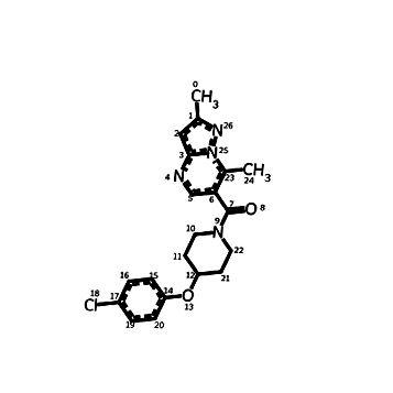 Cc1cc2ncc(C(=O)N3CCC(Oc4ccc(Cl)cc4)CC3)c(C)n2n1